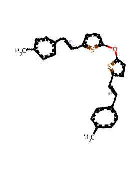 Cc1ccc(/C=C/c2ccc(Oc3ccc(/C=C/c4ccc(C)cc4)s3)s2)cc1